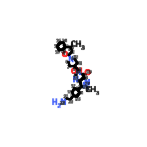 C[C@H](CC(=O)N1CCC(O)(Cn2cnc3c(-c4ccc(CCN)cc4)n(C)nc3c2=O)CC1)c1ccccc1